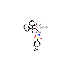 Cc1ccc(S(=O)(=O)N[C@@H]2C=CC(c3ccccc3)(c3ccccc3)[C@H]3OC(C)(C)O[C@@H]23)cc1